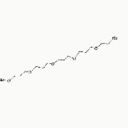 CC(C)(C)CCOCCCOCCCOCCCOCCCOC(C)(C)C